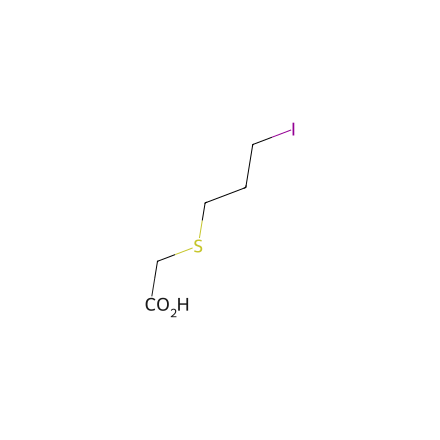 O=C(O)CSCCCI